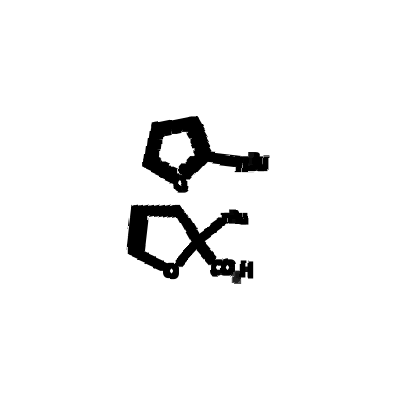 CCCCC1(C(=O)O)CC=CO1.CCCCc1ccco1